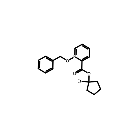 CCC1(OC(=O)c2cccc[n+]2OCc2ccccc2)CCCC1